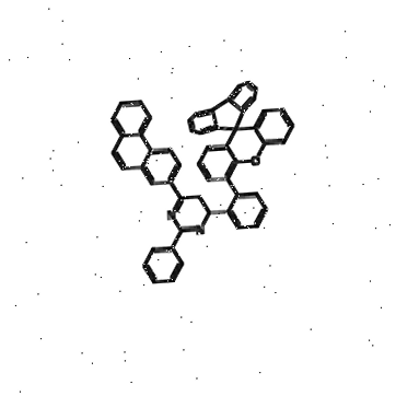 c1ccc(C2=NC(c3ccccc3-c3cccc4c3Oc3ccccc3C43c4ccccc4-c4ccccc43)CC(c3ccc4c(ccc5ccccc54)c3)=N2)cc1